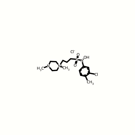 Cc1ccc(N(O)S(=O)(=O)CCC[N+]2(C)CCN(C)CC2)cc1Cl.[Cl-]